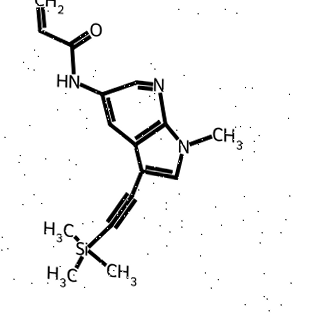 C=CC(=O)Nc1cnc2c(c1)c(C#C[Si](C)(C)C)cn2C